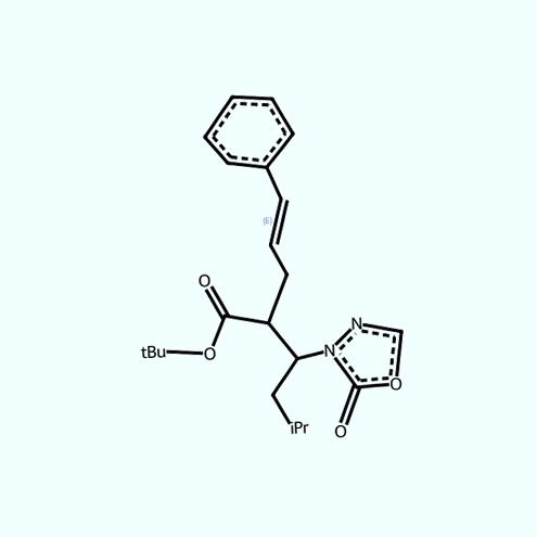 CC(C)CC(C(C/C=C/c1ccccc1)C(=O)OC(C)(C)C)n1ncoc1=O